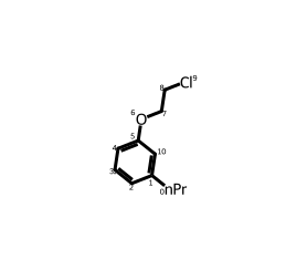 CCCc1c[c]cc(OCCCl)c1